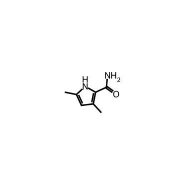 Cc1cc(C)c(C(N)=O)[nH]1